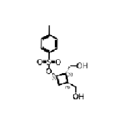 Cc1ccc(S(=O)(=O)O[C@H]2C[C@H](CO)[C@H]2CO)cc1